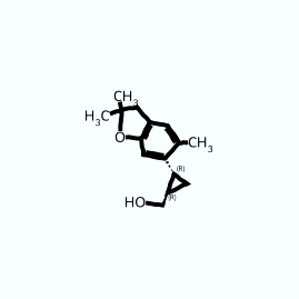 Cc1cc2c(cc1[C@@H]1C[C@H]1CO)OC(C)(C)C2